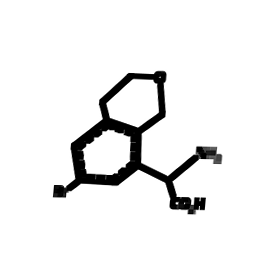 NC(C(=O)O)c1cc(Br)cc2c1COCC2